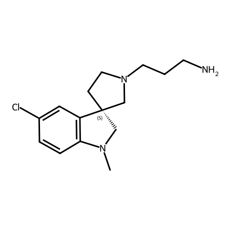 CN1C[C@@]2(CCN(CCCN)C2)c2cc(Cl)ccc21